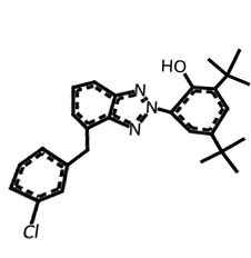 CC(C)(C)c1cc(-n2nc3cccc(Cc4cccc(Cl)c4)c3n2)c(O)c(C(C)(C)C)c1